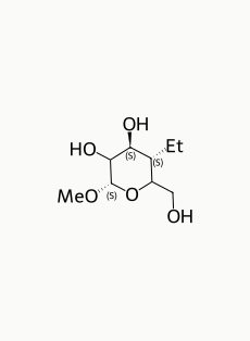 CC[C@@H]1C(CO)O[C@H](OC)C(O)[C@H]1O